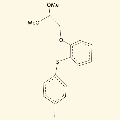 COC(COc1ccccc1Sc1ccc(C)cc1)OC